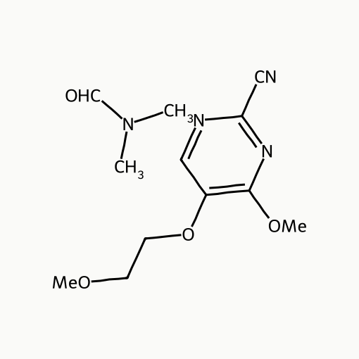 CN(C)C=O.COCCOc1cnc(C#N)nc1OC